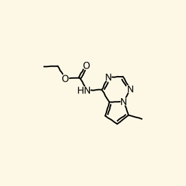 CCOC(=O)Nc1ncnn2c(C)ccc12